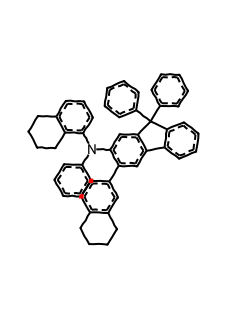 c1ccc(N(c2cc3c(cc2-c2ccc4c(c2)CCCC4)-c2ccccc2C3(c2ccccc2)c2ccccc2)c2cccc3c2CCCC3)cc1